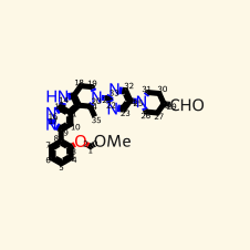 COCOc1ccccc1-c1cc2c3c([nH]c2nn1)CCN(c1ncc(N2CCC(C=O)CC2)cn1)C3C